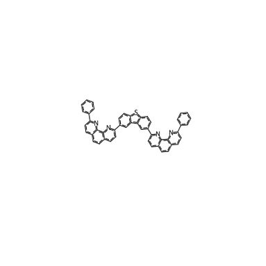 c1ccc(-c2ccc3ccc4ccc(-c5ccc6sc7ccc(-c8ccc9ccc%10ccc(-c%11ccccc%11)nc%10c9n8)cc7c6c5)nc4c3n2)cc1